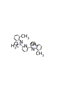 C/C(=N\c1c(C)cccc1Cl)c1cccc(/C(C)=N/c2c(C)cccc2Cl)n1